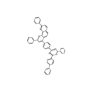 c1ccc(-c2ccc(-c3nc(-c4ccccc4)nc(-c4ccc(-c5cc(-c6ccccc6)nc6c5ccc5ccc(-c7ccccc7)nc56)cc4)n3)cc2)cc1